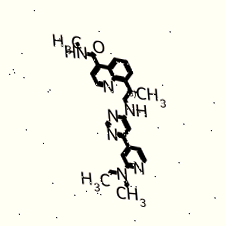 CCN(CC)c1cc(-c2cc(NC[C@@H](C)c3cccc4c(C(=O)NC)ccnc34)ncn2)ccn1